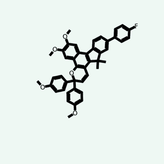 COc1ccc(C2(c3ccc(OC)cc3)C=Cc3c4c(c5cc(OC)c(OC)cc5c3O2)-c2ccc(-c3ccc(F)cc3)cc2C4(C)C)cc1